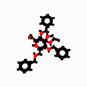 CCO[C@@]1(OC)[C@H](OCc2ccccc2)[C@@H](COCc2ccccc2)O[C@@H](S)[C@@H]1OCc1ccccc1